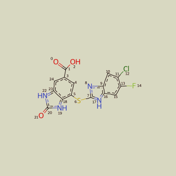 O=C(O)c1cc(Sc2nc3cc(Cl)c(F)cc3[nH]2)c2[nH]c(=O)[nH]c2c1